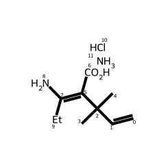 C=CC(C)(C)/C(C(=O)O)=C(/N)CC.Cl.N